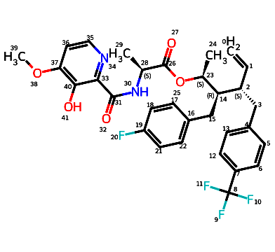 C=C[C@H](Cc1ccc(C(F)(F)F)cc1)[C@@H](Cc1ccc(F)cc1)[C@H](C)OC(=O)[C@H](C)NC(=O)c1nccc(OC)c1O